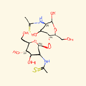 CC(=S)NC1C(O)[C@H](O)C(CO)O[C@H]1O[C@H]1C(CO)OC(O)[C@H](NC(C)=S)C1O